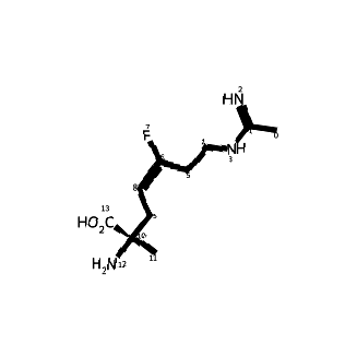 CC(=N)NCC/C(F)=C\C[C@](C)(N)C(=O)O